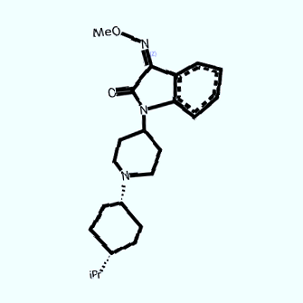 CO/N=C1\C(=O)N(C2CCN([C@H]3CC[C@@H](C(C)C)CC3)CC2)c2ccccc21